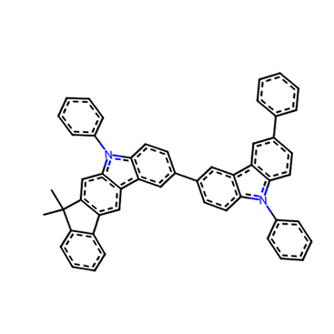 CC1(C)c2ccccc2-c2cc3c4cc(-c5ccc6c(c5)c5cc(-c7ccccc7)ccc5n6-c5ccccc5)ccc4n(-c4ccccc4)c3cc21